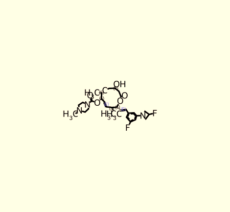 C/C(=C\c1cc(F)cc(N2CC(F)C2)c1)[C@H]1OC(=O)C[C@H](O)CC[C@H](C)[C@H](OC(=O)N2CCN(C)CC2)/C=C/[C@@H]1C